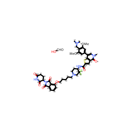 COc1cc(-c2cn(C)c(=O)c3cc(C(=O)NC4CCN(CCCCCOc5cccc6c5C(=O)N(C5CCC(=O)NC5=O)C6=O)CC4(F)F)sc23)cc(OC)c1CN(C)C.O=CO